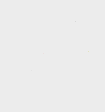 S=C(Oc1ccccc1)C1c2ccccc2Sc2ccccc21